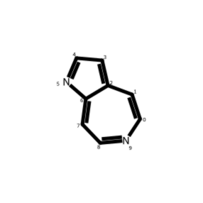 c1cc2ccnc-2ccn1